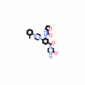 Cc1ccccc1N1CCN(c2ccc(C(=O)N3CCNC(=O)C3)cc2NC(=O)c2ccco2)CC1